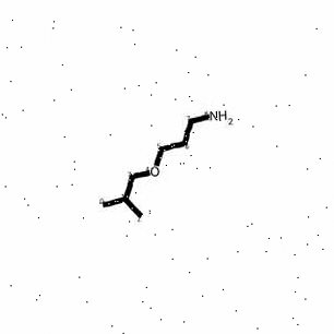 CC(C)COCCCN